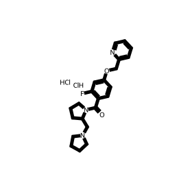 Cl.Cl.O=C(c1ccc(OCc2ccccn2)cc1F)N1CCCC1CN1CCCC1